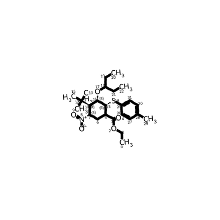 CCOC(=O)C1C[C@H]([N+](=O)[O-])[C@@H](C(C)(C)C)[C@H](OC(CC)CC)[C@@H]1Sc1ccc(C)cc1